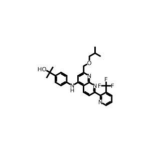 CC(C)COCc1cc(Nc2ccc(C(C)(C)O)cc2)c2ccc(-c3ncccc3C(F)(F)F)nc2n1